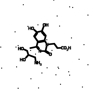 Cc1nc(=O)n(CCC(=O)O)c2cc(O)c(O)cc12.NCC(O)CO